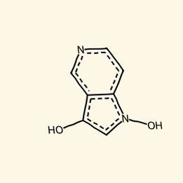 Oc1cn(O)c2ccncc12